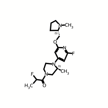 CC(F)C(=O)N1CCN(c2cc(F)nc(OC[C@@H]3CCCN3C)c2)[C@@H](C)C1